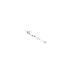 O=C(Cc1ccc(COCCC2CCNCC2)c(F)c1)N1CC(CNC[C@H](O)[C@@H](O)[C@H](O)CCO)C1